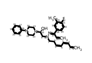 C=C/C=C\C=C/CCN(C[C@H](O)N1CCN(c2ccccc2)CC1)/N=C(\C=C)c1ccc(F)c(C)c1